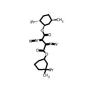 CC(C)[C@@H]1CC[C@@H](C)C[C@H]1OC(=O)C(=[N+]=[N-])C(=[N+]=[N-])C(=O)OC1CCCC(C)(C(C)C)C1